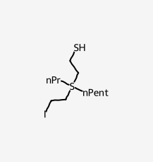 CCCCCS(CCC)(CCS)CCI